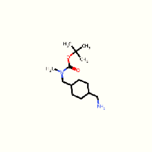 CN(CC1CCC(CN)CC1)C(=O)OC(C)(C)C